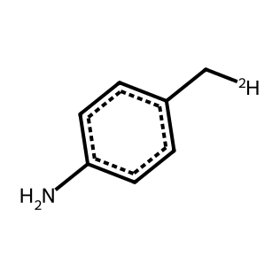 [2H]Cc1ccc(N)cc1